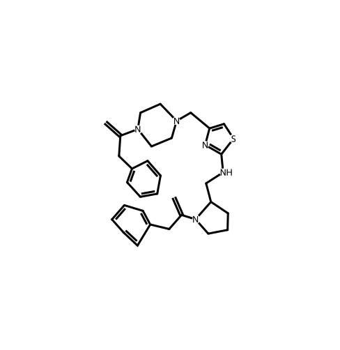 C=C(Cc1ccccc1)N1CCN(Cc2csc(NCC3CCCN3C(=C)Cc3ccccc3)n2)CC1